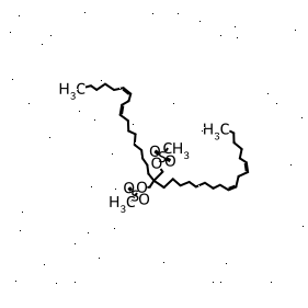 CCCCC/C=C\C/C=C\CCCCCCCCC(CCCCCCCC/C=C\C/C=C\CCCCC)(COS(C)(=O)=O)COS(C)(=O)=O